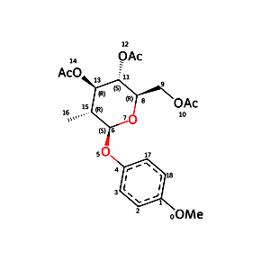 COc1ccc(O[C@@H]2O[C@H](COC(C)=O)[C@@H](OC(C)=O)[C@H](OC(C)=O)[C@H]2C)cc1